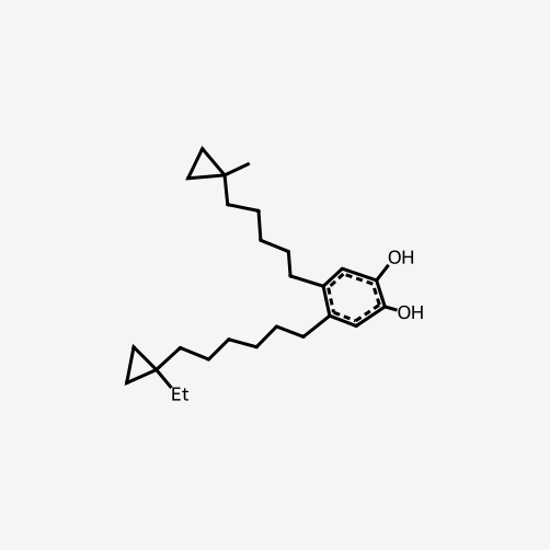 CCC1(CCCCCCc2cc(O)c(O)cc2CCCCCC2(C)CC2)CC1